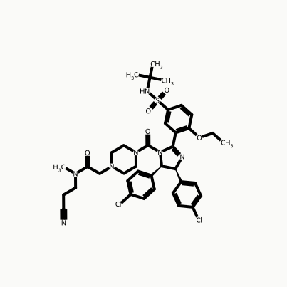 CCOc1ccc(S(=O)(=O)NC(C)(C)C)cc1C1=N[C@@H](c2ccc(Cl)cc2)[C@@H](c2ccc(Cl)cc2)N1C(=O)N1CCN(CC(=O)N(C)CCC#N)CC1